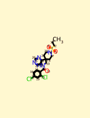 CCCS(=O)(=O)N1CCC(CNC(=O)c2ccc(Cl)cc2Cl)(c2ccncn2)CC1